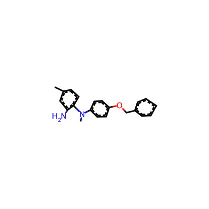 Cc1ccc(N(C)c2ccc(OCc3ccccc3)cc2)c(N)c1